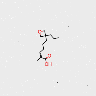 CCCC1(CCCC=C(C)C(=O)O)COC1